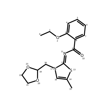 CCOc1ccccc1C(=O)/N=c1\sc(C)cn1CC1OCCO1